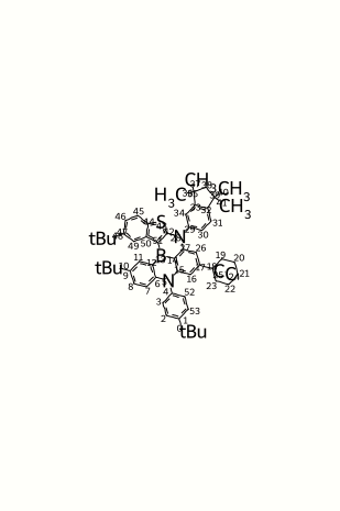 CC(C)(C)c1ccc(N2c3ccc(C(C)(C)C)cc3B3c4c2cc(C25CCC(CC2)CC5)cc4N(c2ccc4c(c2)C(C)(C)CC4(C)C)c2sc4ccc(C(C)(C)C)cc4c23)cc1